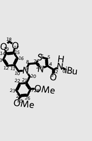 CCC(C)NC(=O)c1csc(CN(Cc2ccc3c(c2)OCO3)Cc2ccc(OC)cc2OC)n1